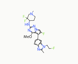 COc1nc(N[C@@H]2CCN(C)CC2(F)F)nn2cc(F)c(-c3ccc4nc(C)n(CCF)c4c3)c12